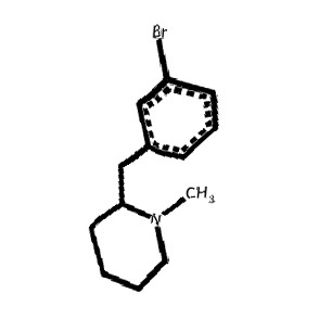 CN1CCCCC1Cc1cccc(Br)c1